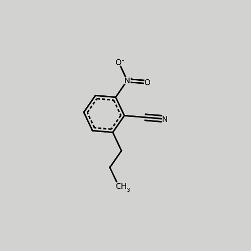 CCCc1cccc([N+](=O)[O-])c1C#N